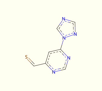 S=Cc1cc(-n2cncn2)ncn1